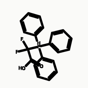 O=C(O)C(F)(F)[PH](c1ccccc1)(c1ccccc1)c1ccccc1